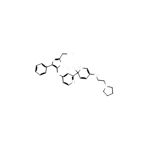 CCc1nc(-c2ccccc2)c(Oc2ccnc(C3(N)C=CC(NCCN4CCCC4)=CN3)c2)s1